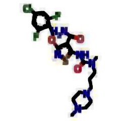 CN1CCN(CCCN(C)C(=O)Nc2snc(OCc3c(F)cc(Cl)cc3F)c2C(N)=O)CC1